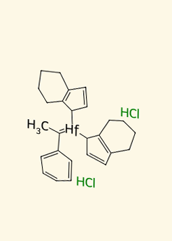 C[C](c1ccccc1)=[Hf]([CH]1C=CC2=C1CCCC2)[CH]1C=CC2=C1CCCC2.Cl.Cl